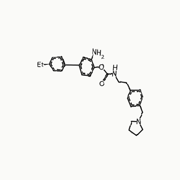 CCc1ccc(-c2ccc(OC(=O)NCCc3ccc(CN4CCCC4)cc3)c(N)c2)cc1